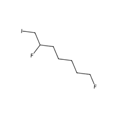 FCCCCCC(F)CI